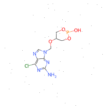 Nc1nc(Cl)c2ncn(COC3COP(O)OC3)c2n1